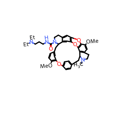 CCN(CC)CCCNC(=O)N1CCc2cc3c4cc2C1Cc1ccc(OC)c(c1)Oc1ccc(cc1)CC1c2c(cc(OC)c(c2O4)O3)CCN1C